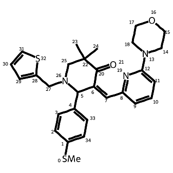 CSc1ccc(C2C(=Cc3cccc(N4CCOCC4)n3)C(=O)C(C)(C)CN2Cc2cccs2)cc1